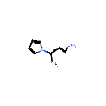 CC(CCN)n1cccc1